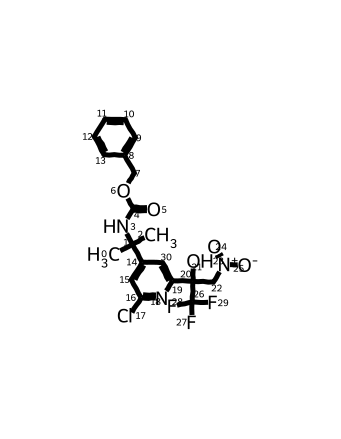 CC(C)(NC(=O)OCc1ccccc1)c1cc(Cl)nc(C(O)(C[N+](=O)[O-])C(F)(F)F)c1